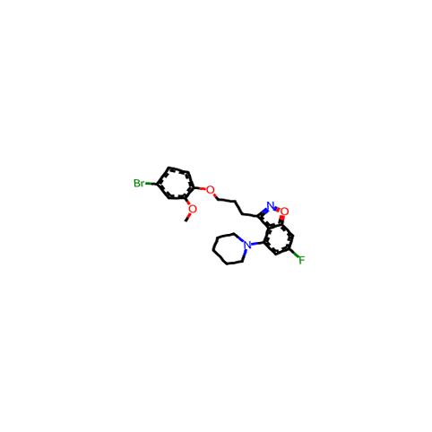 COc1cc(Br)ccc1OCCCc1noc2cc(F)cc(N3CCCCC3)c12